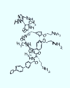 C[C@@H]1NC(=O)[C@@H](N(C)C(=O)[C@H](CCCCN)NC(=O)c2ccc(-c3ccc(Cl)cc3)cc2)c2ccc(OCCN)c(c2)-c2cc(ccc2OCCN)C[C@@H](C(=O)N[C@@H](C)C(=O)c2[nH]ncc2N)NC1=O